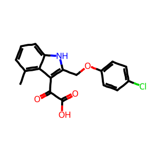 Cc1cccc2[nH]c(COc3ccc(Cl)cc3)c(C(=O)C(=O)O)c12